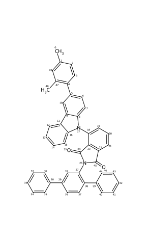 Cc1ccc(-c2ccc3c(c2)c2ccccc2n3-c2cccc3c2C(=O)N(c2cc(-c4ccccc4)ccc2-c2ccccc2)C3=O)c(C)c1